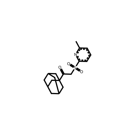 Cc1cccc(S(=O)(=O)CC(=O)C23CC4CC(CC(C4)C2)C3)n1